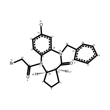 O=C1[C@H]2CCC[C@H]2N(C(=O)CBr)c2ccc(Cl)cc2N1Cc1ccccc1